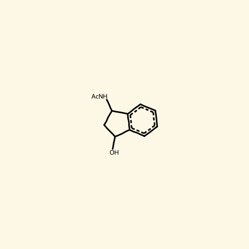 CC(=O)NC1CC(O)c2ccccc21